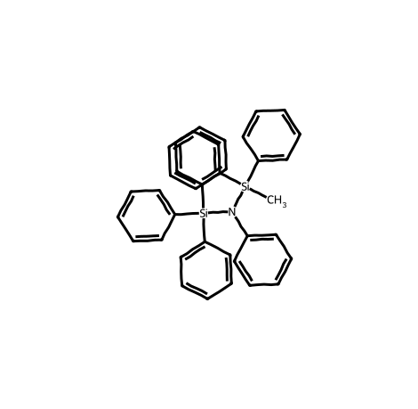 C[Si](c1ccccc1)(c1ccccc1)N(c1ccccc1)[Si](c1ccccc1)(c1ccccc1)c1ccccc1